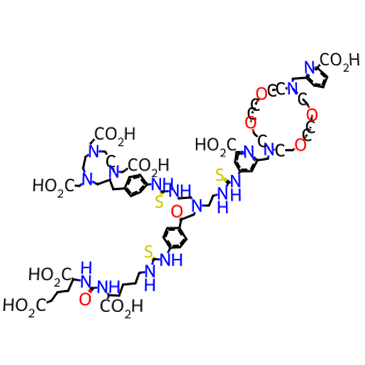 O=C(O)CCCC(NC(=O)NC(CCCCNC(=S)Nc1ccc(C(=O)CN(CCNC(=S)Nc2ccc(CC3CN(CC(=O)O)CCN(CC(=O)O)CCN3CC(=O)O)cc2)CCNC(=S)Nc2cc(CN3CCOCCOCCN(Cc4cccc(C(=O)O)n4)CCOCCOCC3)nc(C(=O)O)c2)cc1)C(=O)O)C(=O)O